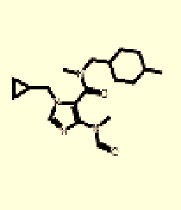 CC1CCC(CN(C)C(=O)c2c(N(C)C=O)ncn2CC2CC2)CC1